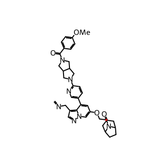 C=NCc1cnn2cc(OCCN3C4CCC3CC(=O)C4)cc(-c3ccc(N4CC5CN(C(=O)c6ccc(OC)cc6)CC5C4)nc3)c12